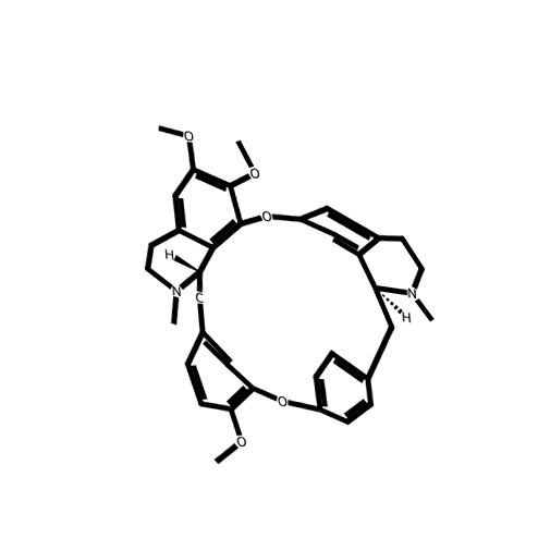 COc1ccc2cc1Oc1ccc(cc1)C[C@H]1C3=CC(C=C3CCN1C)Oc1c(OC)c(OC)cc3c1[C@H](C2)N(C)CC3